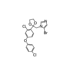 Clc1ccc(Oc2ccc(C3(Cn4cncc4Br)OCCO3)c(Cl)c2)cc1